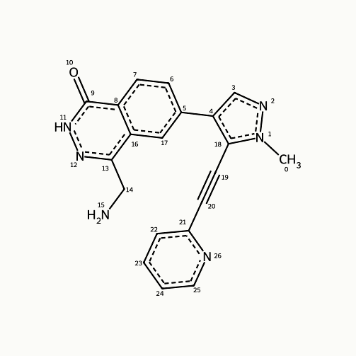 Cn1ncc(-c2ccc3c(=O)[nH]nc(CN)c3c2)c1C#Cc1ccccn1